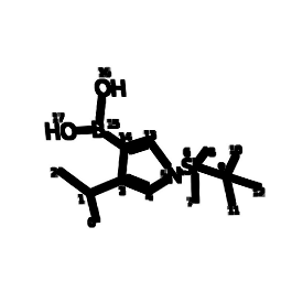 CC(C)c1cn([Si](C)(C)C(C)(C)C)cc1B(O)O